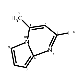 Cc1cc(I)nc2cccn12